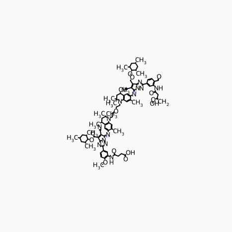 C=C(CC(=O)Nc1cc(-c2nc3n(n2)/C(=N/c2cc4c(cc2C)N(CCOCCN2c5cc(C)c(/N=C6\C(C#N)=C(C(=O)OC7C(C)CC(C)CC7C)c7nc(-c8ccc(OC)c(NC(=O)CCC(=O)O)c8)nn76)cc5C(C)CC2(C)C)C(C)(C)CC4C)C(C#N)=C3COOC2C(C)CC(C)CC2C)ccc1C=O)OO